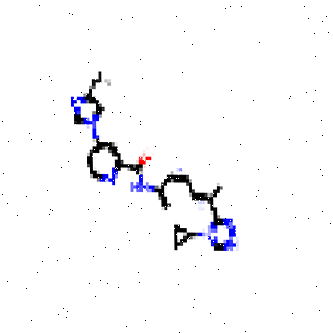 C=C(/C=C\C=C(/C)c1nncn1C1CC1)NC(=O)c1cc(-n2cnc(C(F)(F)F)c2)ccn1